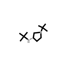 CC(C)(C)N[C@H]1CCN(C(C)(C)C)C1